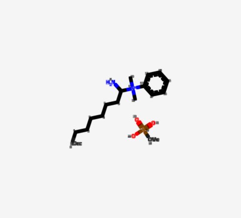 CCCCCCCCCCCCCCCCC(N)[N+](C)(C)c1ccccc1.COS(=O)(=O)[O-]